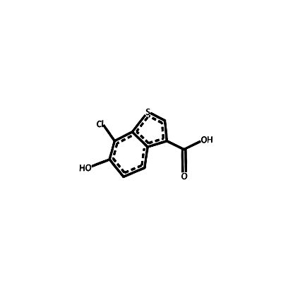 O=C(O)c1csc2c(Cl)c(O)ccc12